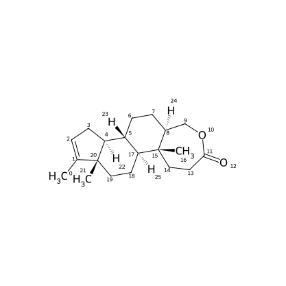 CC1=CC[C@H]2[C@@H]3CC[C@H]4COC(=O)CC[C@]4(C)[C@H]3CC[C@]12C